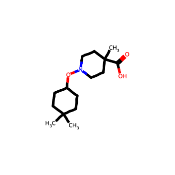 CC1(C)CCC(ON2CCC(C)(C(=O)O)CC2)CC1